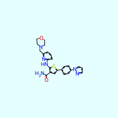 NC(=O)c1cc(-c2ccc(-n3cccn3)cc2)sc1Nc1cccc(CN2CCOCC2)n1